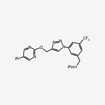 CCCC(C)Cc1cc(-n2cc(COc3ncc(C(C)C)cn3)nn2)cc(C(F)(F)F)c1